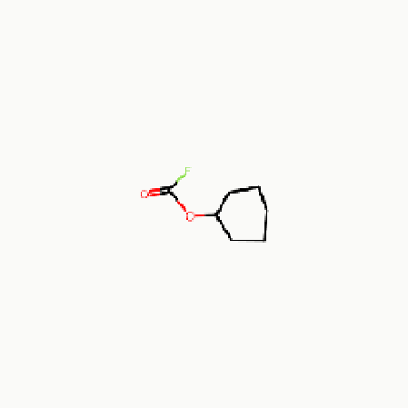 O=C(F)OC1CCCCC1